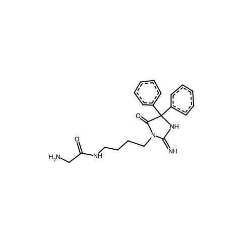 N=C1NC(c2ccccc2)(c2ccccc2)C(=O)N1CCCCNC(=O)CN